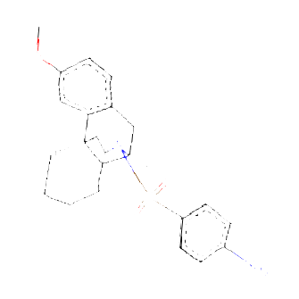 COc1ccc2c(c1)[C@]13CCCC[C@@H]1[C@H](C2)N(S(=O)(=O)c1ccc(N)cc1)CC3